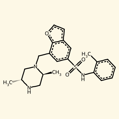 Cc1ccccc1NS(=O)(=O)c1cc(CN2C[C@@H](C)NC[C@@H]2C)c2occc2c1